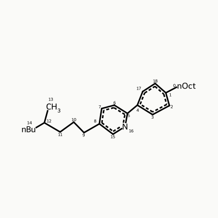 CCCCCCCCc1ccc(-c2ccc(CCCC(C)CCCC)cn2)cc1